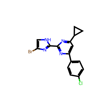 Clc1ccc(-c2cc(C3CC3)nc(-c3nc(Br)c[nH]3)n2)cc1